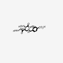 CCCCCCCCN(C(=O)OC(C)(C)C)C(CNCc1ccc(C(=O)O)cc1)C(=O)NCCCCCC